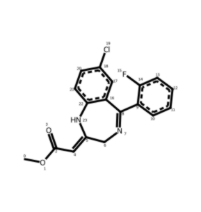 COC(=O)C=C1CN=C(c2ccccc2F)c2cc(Cl)ccc2N1